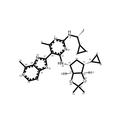 Cc1nc(N[C@H](C)C2CC2)nc(N[C@@H]2C[C@H](C3CC3)[C@H]3OC(C)(C)O[C@H]32)c1-c1nc2c(C)nccc2s1